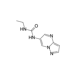 CCNC(=O)Nc1cnc2ccnn2c1